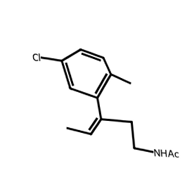 C/C=C(/CCNC(C)=O)c1cc(Cl)ccc1C